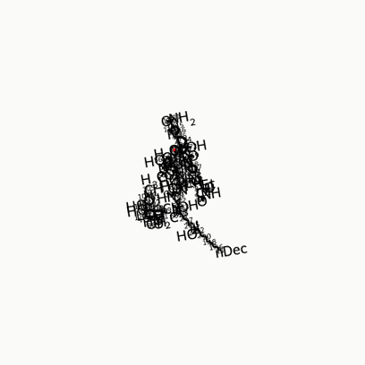 CCC1(c2ccncc2)CCC(=O)NC1=O.CCCCCCCCCCCCCCCCCC(O)=NCCCC[C@H](N=C(O)CC[C@@H](N=C(O)[C@H](C)N=C(O)[C@@H](C)O[C@H]1C(O)[C@@H](CO)O[C@@H](O)[C@@H]1N=C(C)O)C(=N)O)C(=O)O.CN(C(=O)c1c(O)c2ccccc2n(C)c1=O)c1ccccc1.Cc1cc(=O)c2c(O)cc(O)c([C@H]3CCN(C)C[C@H]3O)c2o1.NC(=O)c1cccnc1.[Lu]